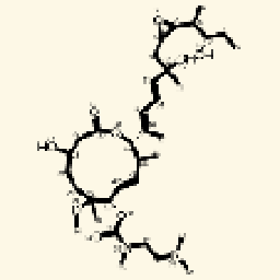 CC[C@H](O)C(C)C1OC1CC(C)(O)/C=C/C=C(\C)[C@H]1OC(=O)CC(O)CCC(C)(OC)[C@@H](OC(=O)N(C)CCN(C)C)/C=C/C1C